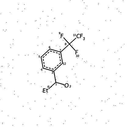 CCC([O])c1cccc(C(F)(F)C(F)(F)F)c1